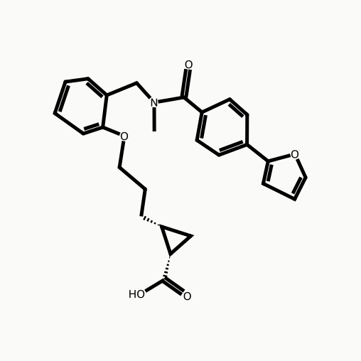 CN(Cc1ccccc1OCCC[C@@H]1C[C@@H]1C(=O)O)C(=O)c1ccc(-c2ccco2)cc1